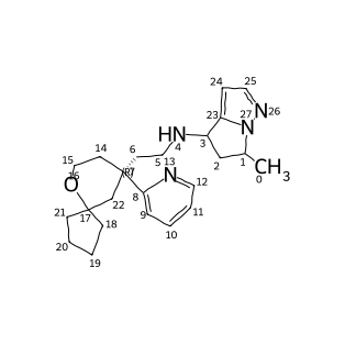 CC1CC(NCC[C@@]2(c3ccccn3)CCOC3(CCCC3)C2)c2ccnn21